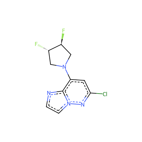 F[C@H]1CN(c2cc(Cl)nn3ccnc23)C[C@@H]1F